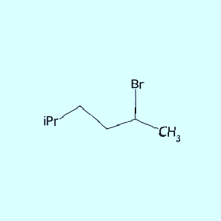 CC(C)CCC(C)Br